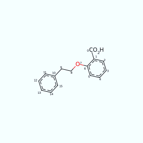 O=C(O)c1ccccc1OCCc1ccccc1